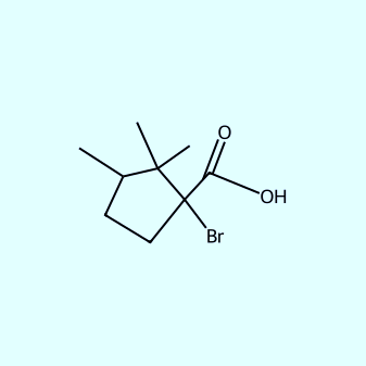 CC1CCC(Br)(C(=O)O)C1(C)C